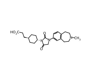 CN1CCc2ccc(N3CC(=O)N([C@H]4CC[C@H](CCC(=O)O)CC4)C3=O)cc2CC1